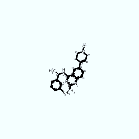 Cc1cccc([C@@H](C)Nc2nc(C)nc3ccc(C4=CC[S+]([O-])CC4)cc23)c1